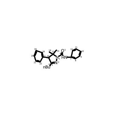 CCCCC1=NN(C(=O)Nc2ccccc2)C(C)(C)C1c1ccccc1